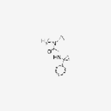 CN(C(=O)CNC1(c2ccccc2)CC1)C1CC1